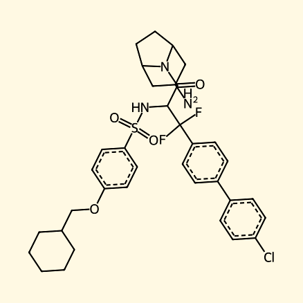 NC1CC2CCC(C1)N2C(=O)C(NS(=O)(=O)c1ccc(OCC2CCCCC2)cc1)C(F)(F)c1ccc(-c2ccc(Cl)cc2)cc1